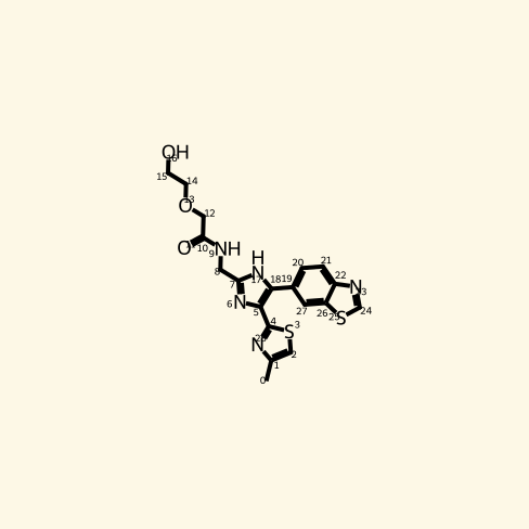 Cc1csc(-c2nc(CNC(=O)COCCO)[nH]c2-c2ccc3ncsc3c2)n1